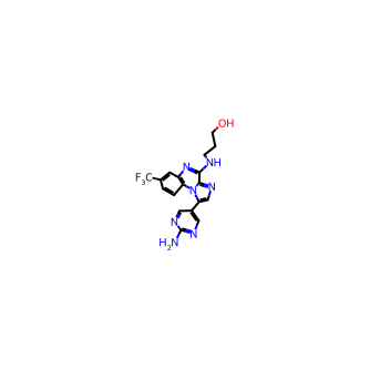 Nc1ncc(-c2cnc3c(NCCCO)nc4cc(C(F)(F)F)ccc4n23)cn1